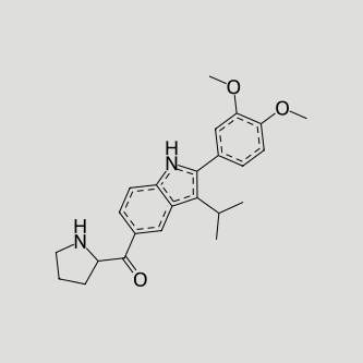 COc1ccc(-c2[nH]c3ccc(C(=O)C4CCCN4)cc3c2C(C)C)cc1OC